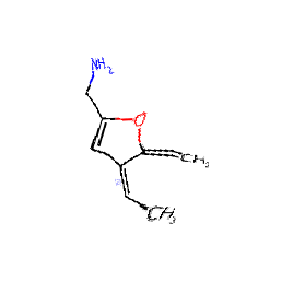 C=c1oc(CN)c/c1=C/C